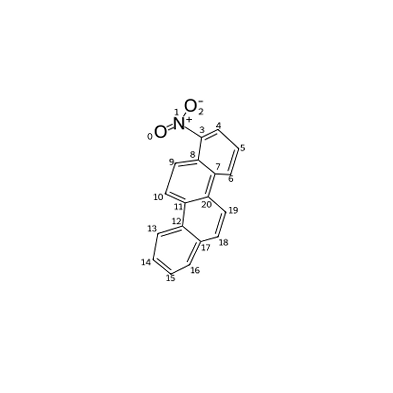 O=[N+]([O-])c1cccc2c1ccc1c3ccccc3ccc21